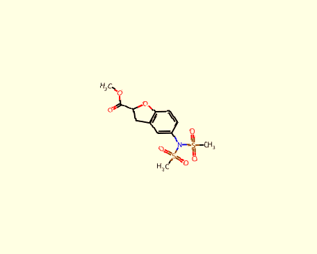 COC(=O)C1Cc2cc(N(S(C)(=O)=O)S(C)(=O)=O)ccc2O1